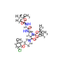 Cc1ccc(Cl)c(OC2CCN(C(=O)[C@@H]3C[C@@H](NC(=O)CNC(=O)OC(C)(C)C)CN3C(=O)OC(C)(C)C)CC2)c1